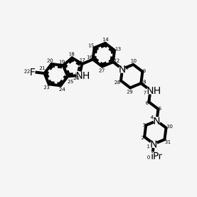 CC(C)N1CCN(CCNC2CCN(c3cccc(-c4cc5cc(F)ccc5[nH]4)c3)CC2)CC1